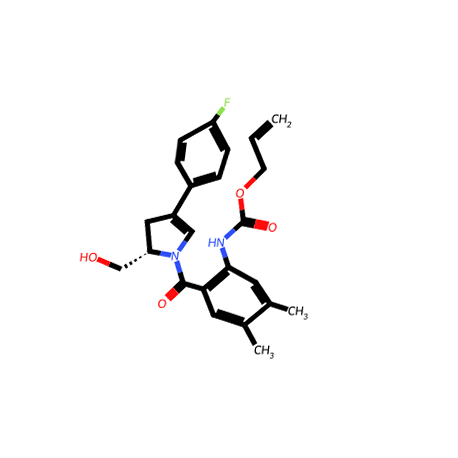 C=CCOC(=O)Nc1cc(C)c(C)cc1C(=O)N1C=C(c2ccc(F)cc2)C[C@H]1CO